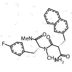 CNC(=O)[C@@H](Cc1ccc(F)cc1)N(C)C(=O)[C@H](Cc1ccc2ccccc2c1)C(N)=O